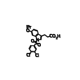 CC(C)Oc1ccc2c(CCC(=O)O)cn(S(=O)(=O)c3ccc(Cl)c(Cl)c3)c2c1